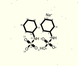 O=S(=O)(O)NC1CCCCC1.O=S(=O)([O-])NC1CCCCC1.[Na+]